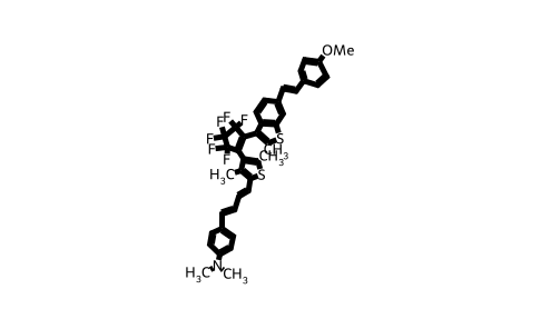 COc1ccc(C=Cc2ccc3c(C4=C(c5c(C)sc(C=CC=Cc6ccc(N(C)C)cc6)c5C)C(F)(F)C(F)(F)C4(F)F)c(C)sc3c2)cc1